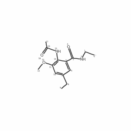 [CH2]CNC(=O)c1cc(CC)cc(OC)c1NC(C)=O